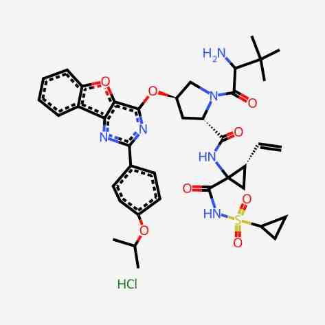 C=C[C@@H]1CC1(NC(=O)[C@@H]1C[C@@H](Oc2nc(-c3ccc(OC(C)C)cc3)nc3c2oc2ccccc23)CN1C(=O)C(N)C(C)(C)C)C(=O)NS(=O)(=O)C1CC1.Cl